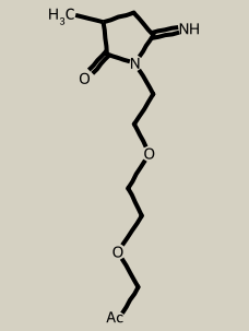 CC(=O)COCCOCCN1C(=N)CC(C)C1=O